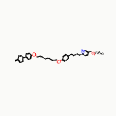 [CH2+][CH-]CCOCc1ccc(CCCCc2ccc(OCCCCCCOc3ccc(-c4ccc(C)cc4)cc3)cc2)nc1